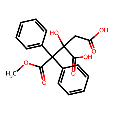 COC(=O)C(c1ccccc1)(c1ccccc1)C(O)(CC(=O)O)C(=O)O